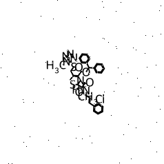 CO[C@@]1(N=CC=Cc2ccccc2Cl)C(=O)N2C(C(=O)OC(c3ccccc3)c3ccccc3)=C(CSc3nnnn3C)CS[C@H]21